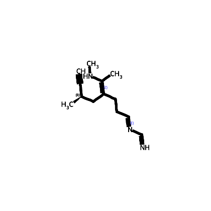 C#C[C@H](C)C/C(CC/C=N/C=N)=C(/C)NC